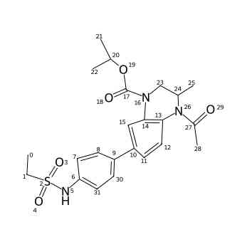 CCS(=O)(=O)Nc1ccc(-c2ccc3c(c2)N(C(=O)OC(C)C)CC(C)N3C(C)=O)cc1